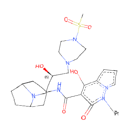 CC(C)n1c(=O)c(C(=O)NC2CC3CCC(C2)N3C[C@@H](O)CN2CCN(S(C)(=O)=O)CC2)c(O)c2cccn21